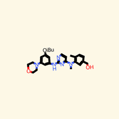 Cc1ccc(CO)cc1N(C)c1ccnc(Nc2cc(OCC(C)C)cc(N3CCOCC3)c2)n1